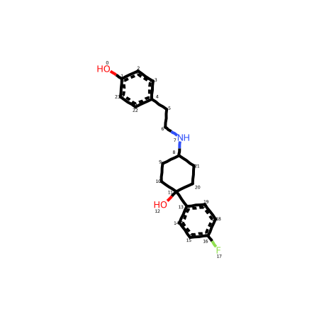 Oc1ccc(CCNC2CCC(O)(c3ccc(F)cc3)CC2)cc1